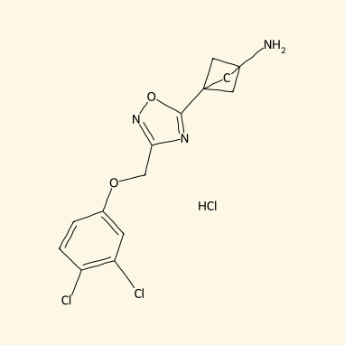 Cl.NC12CC(c3nc(COc4ccc(Cl)c(Cl)c4)no3)(C1)C2